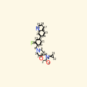 O=C1COC2(CCN(Cc3ccc(-c4ccc5cccnc5c4)cc3F)CC2)CN1C1CC1